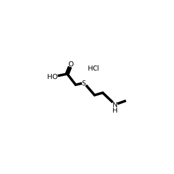 CNCCSCC(=O)O.Cl